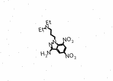 CCN(CC)CCCn1nc(N)c2cc([N+](=O)[O-])cc([N+](=O)[O-])c21